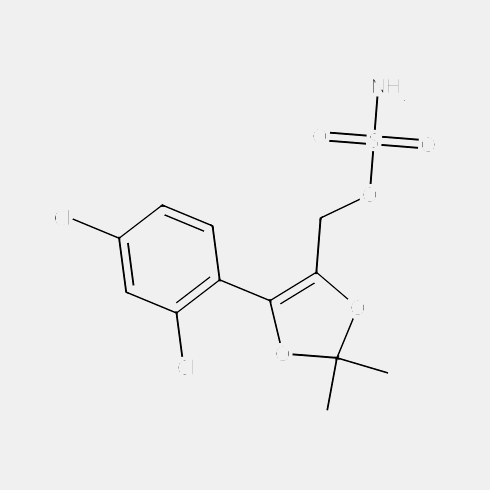 CC1(C)OC(COS(N)(=O)=O)=C(c2ccc(Cl)cc2Cl)O1